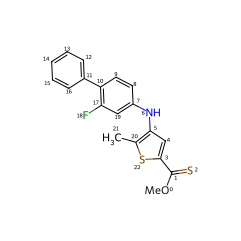 COC(=S)c1cc(Nc2ccc(-c3ccccc3)c(F)c2)c(C)s1